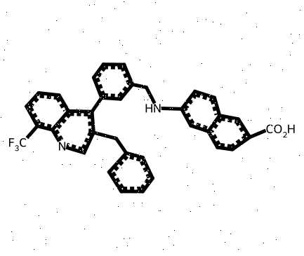 O=C(O)c1ccc2cc(NCc3cccc(-c4c(Cc5ccccc5)cnc5c(C(F)(F)F)cccc45)c3)ccc2c1